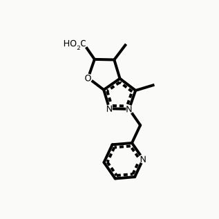 Cc1c2c(nn1Cc1ccccn1)OC(C(=O)O)C2C